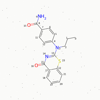 CCCN(c1ccc(C(N)=O)cc1)c1nc(=O)c2ccccc2s1